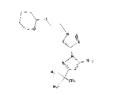 CC(C)(C)c1cc(N)n(-c2cn(CCOC3CCCCO3)cn2)n1